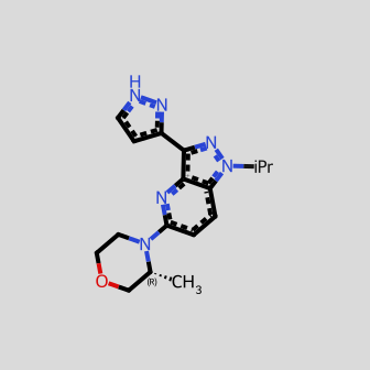 CC(C)n1nc(-c2cc[nH]n2)c2nc(N3CCOC[C@H]3C)ccc21